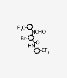 O=CN(c1cc(Br)cc(C(=O)Nc2cccc(C(F)(F)F)c2)c1)c1cccc(C(F)(F)F)c1